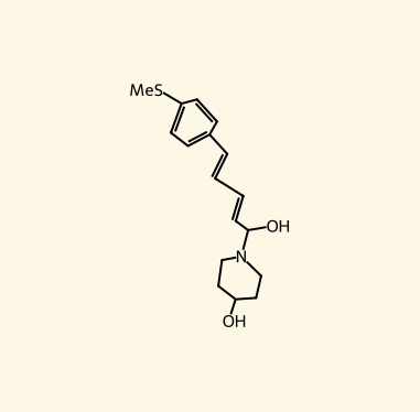 CSc1ccc(/C=C/C=C/C(O)N2CCC(O)CC2)cc1